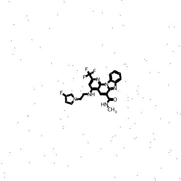 CNC(=O)c1cc2c(NCCN3CCC(F)C3)cc(C(F)(F)F)nc2n2c1nc1ccccc12